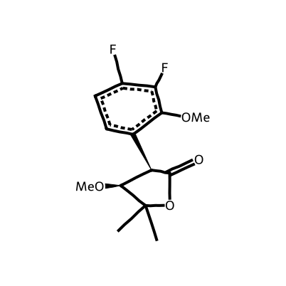 COc1c([C@H]2C(=O)OC(C)(C)[C@H]2OC)ccc(F)c1F